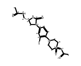 CC(=O)N=S1(=O)CCN(c2ccc(N3C[C@H](CNC(C)=O)OC3=O)cc2F)CC1